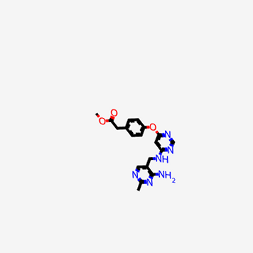 COC(=O)Cc1ccc(Oc2cc(NCc3cnc(C)nc3N)ncn2)cc1